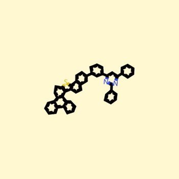 c1ccc(-c2cc(-c3cccc(-c4ccc5c(ccc6c5sc5ccc7c8ccccc8c8ccccc8c7c56)c4)c3)nc(-c3ccccc3)n2)cc1